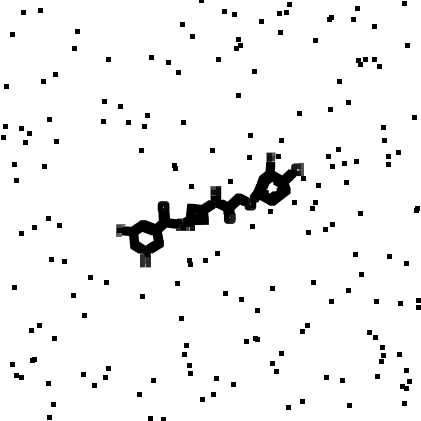 O=C(COc1ccc(Cl)c(F)c1)NC12CC(NC(=O)C3=CC(F)CNC3)(C1)C2